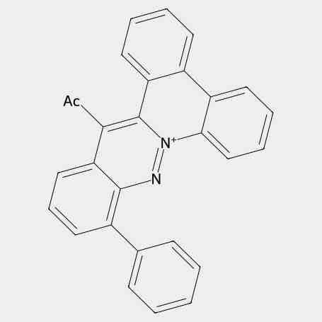 CC(=O)c1c2cccc(-c3ccccc3)c2n[n+]2c3ccccc3c3ccccc3c12